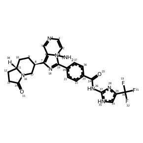 N[N+]12C=CN=CC1=C([C@@H]1CC[C@H]3CCC(=O)N3C1)N=C2c1ccc(C(=O)Nc2nc(C(F)(F)F)c[nH]2)cc1